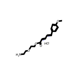 COc1ccc(/C=C/C=C/C(=O)OCCOCCN)cc1.Cl